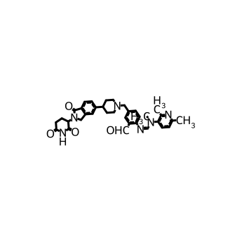 Cc1ccc(N(C)/C=N\c2ccc(CN3CCC(c4ccc5c(c4)CN(C4CCC(=O)NC4=O)C5=O)CC3)cc2C=O)c(C)n1